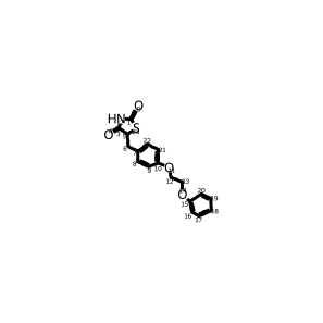 O=C1NC(=O)C(Cc2ccc(OCCOc3ccccc3)cc2)S1